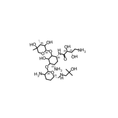 C[C@@H]1C(O)[C@@H](OC2C(O)C(O[C@H]3O[C@H](CNCC(C)(C)O)CCC3N)[C@@H](N)C[C@H]2NC(=O)[C@@H](O)[C@@H](O)CN)OCC1(C)O